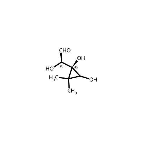 CC1(C)C(O)[C@@]1(O)[C@@H](O)C=O